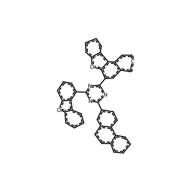 c1ccc2c(c1)ccc1cc(-c3nc(-c4cc5ccccc5c5c4oc4ccccc45)nc(-c4cccc5oc6ccccc6c45)n3)ccc12